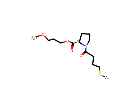 CC(=O)SCCCC(=O)N1CCC[C@H]1C(=O)OCCCO[N+](=O)[O-]